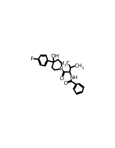 CC(C)C(NC(=O)c1ccccc1)C(=O)N1CCC(O)(c2ccc(F)cc2)CC1